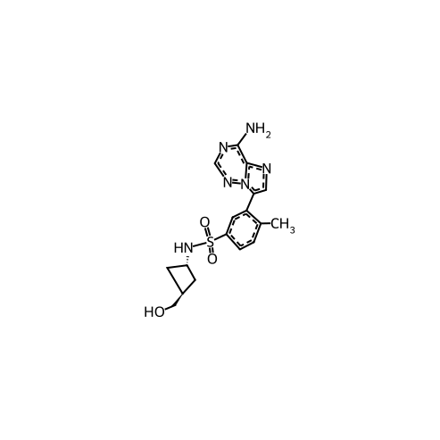 Cc1ccc(S(=O)(=O)N[C@H]2C[C@H](CO)C2)cc1-c1cnc2c(N)ncnn12